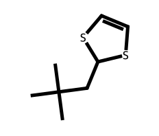 CC(C)(C)CC1SC=CS1